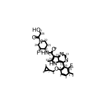 Cc1ccc(OCC2CC2)c(-c2ncnc3c(C(=O)N[C@H]4CCN(C(=O)CO)C[C@@H]4F)c(C)[nH]c23)c1F